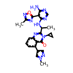 Cc1noc(-c2c(N)ncnc2NC(C)c2nc3cccc(-c4cnn(C)c4)c3c(=O)n2C2CC2)n1